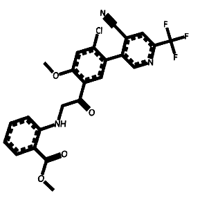 COC(=O)c1ccccc1NCC(=O)c1cc(-c2cnc(C(F)(F)F)cc2C#N)c(Cl)cc1OC